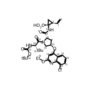 C=C[C@@H]1C[C@]1(NC(=O)[C@@H]1C[C@@H](Oc2cc(OCC)nc3c(Cl)cccc23)CN1C(=O)[C@@H](NC(=O)OC(C)(C)C)C(C)(C)C)C(=O)O